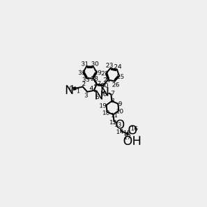 N#CCCc1nn(CC2CCC(COCC(=O)O)CC2)c(-c2ccccc2)c1-c1ccccc1